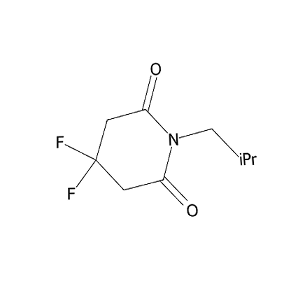 CC(C)CN1C(=O)CC(F)(F)CC1=O